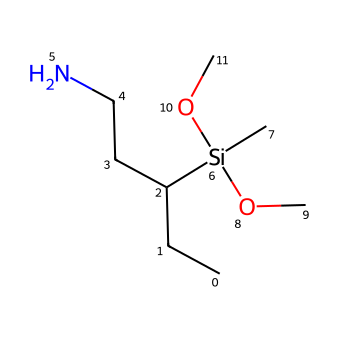 CCC(CCN)[Si](C)(OC)OC